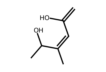 C=C(O)/C=C(/C)C(C)O